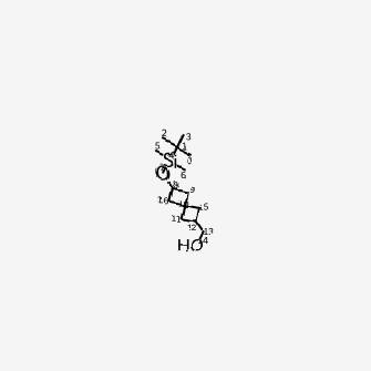 CC(C)(C)[Si](C)(C)OC1CC2(CC(CO)C2)C1